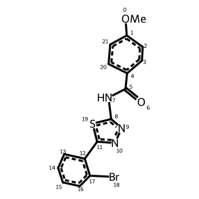 COc1ccc(C(=O)Nc2nnc(-c3ccccc3Br)s2)cc1